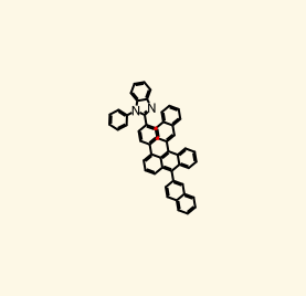 c1ccc(-n2c(-c3ccc(-c4cccc5c(-c6ccc7ccccc7c6)c6ccccc6c(-c6ccc7ccccc7c6)c45)cc3)nc3ccccc32)cc1